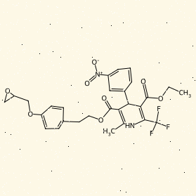 CCOC(=O)C1=C(C(F)(F)F)NC(C)=C(C(=O)OCCc2ccc(OCC3CO3)cc2)C1c1cccc([N+](=O)[O-])c1